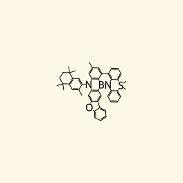 Cc1cc2c3c(c1)N(c1cc4c(cc1C)C(C)(C)CCC4(C)C)c1cc4oc5ccccc5c4cc1B3N1c3ccccc3S(C)(C)c3cccc-2c31